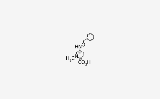 CN1C[C@@H](NOCc2ccccc2)CC[C@@H]1C(=O)O